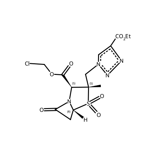 CCOC(=O)c1cn(C[C@@]2(C)[C@H](C(=O)OCCl)N3C(=O)C[C@H]3S2(=O)=O)nn1